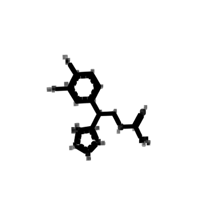 NC(=O)OCC(c1ccc(F)c(F)c1)c1nnn[nH]1